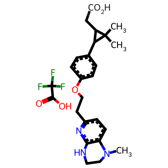 CN1CCNc2nc(CCOc3ccc(C4C(CC(=O)O)C4(C)C)cc3)ccc21.O=C(O)C(F)(F)F